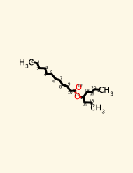 CCCCCCCCCCCC(=O)OC(CCC)CCCC